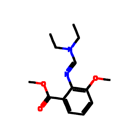 CCN(C=Nc1c(OC)cccc1C(=O)OC)CC